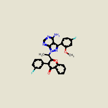 COc1cc(F)ccc1-c1nn(C(C)c2oc3ccccc3c(=O)c2-c2cccc(F)c2)c2ncnc(N)c12